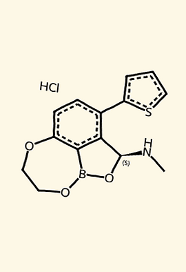 CN[C@H]1OB2OCCOc3ccc(-c4cccs4)c1c32.Cl